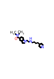 CCN(CC)C(=O)c1ccc2c(ccn2CCNCCCCc2ccncc2)c1